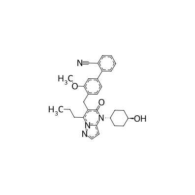 CCCc1c(Cc2ccc(-c3ccccc3C#N)cc2OC)c(=O)n([C@H]2CC[C@H](O)CC2)c2ccnn12